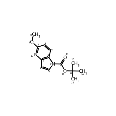 COc1ccc2c(ccn2C(=O)OC(C)(C)C)n1